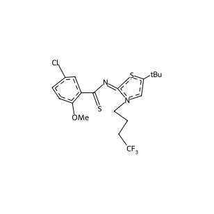 COc1ccc(Cl)cc1C(=S)N=c1sc(C(C)(C)C)cn1CCCC(F)(F)F